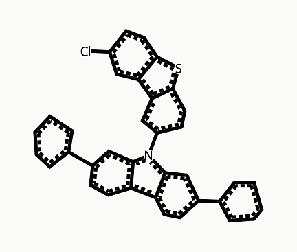 Clc1ccc2sc3ccc(-n4c5cc(-c6ccccc6)ccc5c5ccc(-c6ccccc6)cc54)cc3c2c1